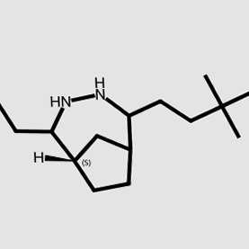 CCC1NNC(CCC(C)(C)C)C2CC[C@H]1C2